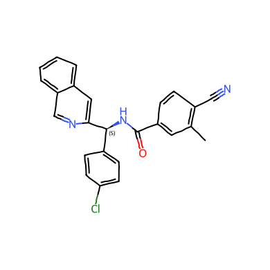 Cc1cc(C(=O)N[C@@H](c2ccc(Cl)cc2)c2cc3ccccc3cn2)ccc1C#N